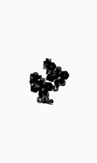 COCCN1C(=O)c2ccccc2C(C(=O)Nc2c(C)noc2C)C1c1cccs1.COCCN1C(=O)c2ccccc2C(C(=O)Nc2ccc3ncsc3c2)C1c1cccs1